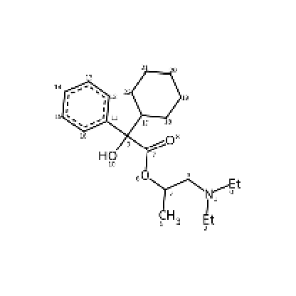 CCN(CC)CC(C)OC(=O)C(O)(c1ccccc1)C1CCCCC1